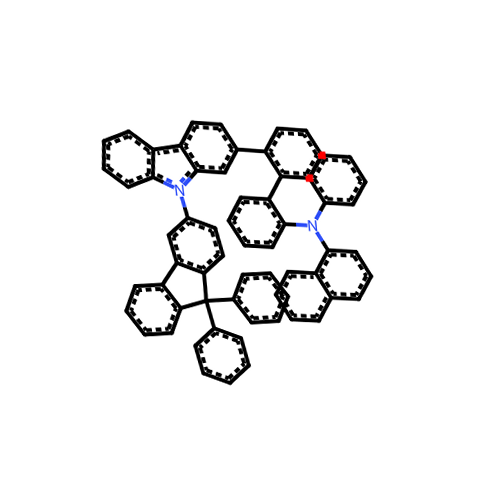 c1ccc(N(c2ccccc2-c2ccccc2-c2ccc3c4ccccc4n(-c4ccc5c(c4)-c4ccccc4C5(c4ccccc4)c4ccccc4)c3c2)c2cccc3ccccc23)cc1